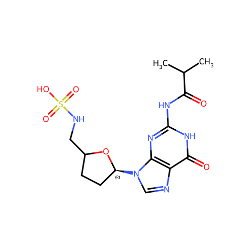 CC(C)C(=O)Nc1nc2c(ncn2[C@H]2CCC(CNS(=O)(=O)O)O2)c(=O)[nH]1